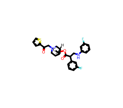 O=C(C[N+]12CCC(CC1)[C@@H](OC(=O)C(CNc1cccc(F)c1)c1cccc(F)c1)C2)c1cccs1